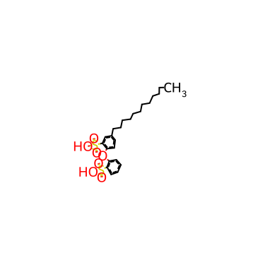 CCCCCCCCCCCCc1ccc(Oc2ccccc2S(=O)(=O)O)c(S(=O)(=O)O)c1